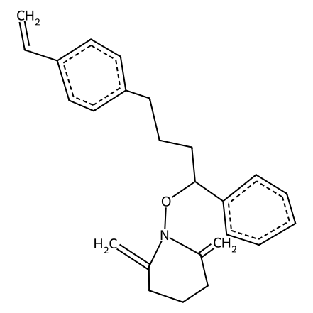 C=Cc1ccc(CCCC(ON2C(=C)CCCC2=C)c2ccccc2)cc1